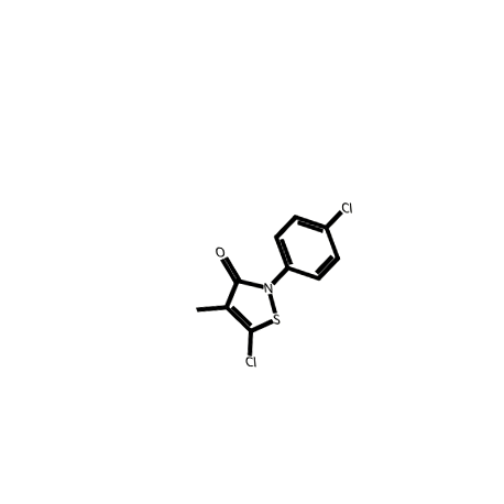 Cc1c(Cl)sn(-c2ccc(Cl)cc2)c1=O